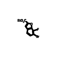 CCOC(=O)c1cc2ccc(Br)c(F)c2o1